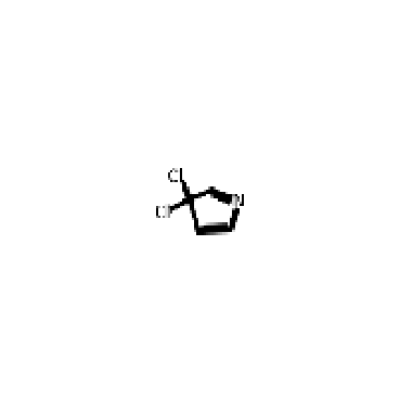 ClC1(Cl)C=CN=C1